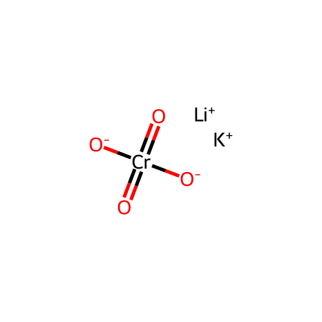 [K+].[Li+].[O]=[Cr](=[O])([O-])[O-]